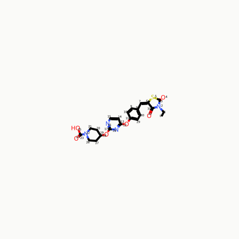 CCN1C(=O)SC(=Cc2ccc(Oc3ccnc(OC4CCN(C(=O)O)CC4)n3)cc2)C1=O